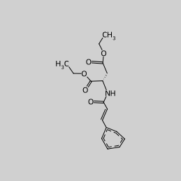 CCOC(=O)C[C@H](NC(=O)/C=C/c1ccccc1)C(=O)OCC